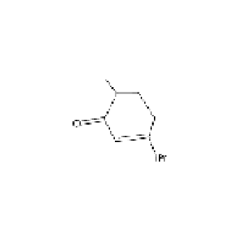 CC(C)C1=CC(=O)C(C)CC1